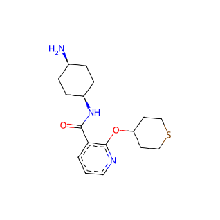 N[C@H]1CC[C@@H](NC(=O)c2cccnc2OC2CCSCC2)CC1